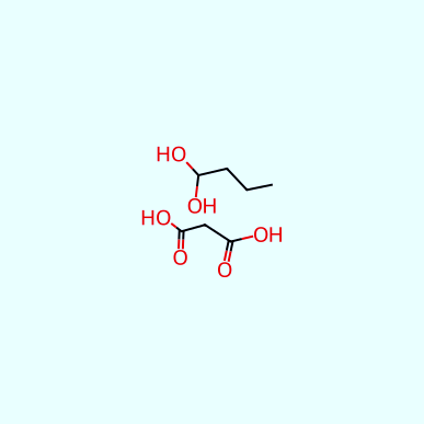 CCCC(O)O.O=C(O)CC(=O)O